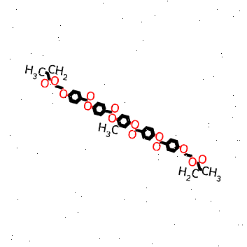 C=C(C)C(=O)OCCOc1ccc(C(=O)Oc2ccc(C(=O)Oc3ccc(OC(=O)c4ccc(OC(=O)c5ccc(OCCOC(=O)C(=C)C)cc5)cc4)c(C)c3)cc2)cc1